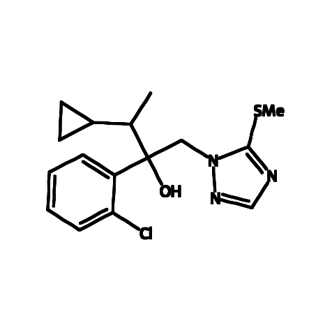 CSc1ncnn1CC(O)(c1ccccc1Cl)C(C)C1CC1